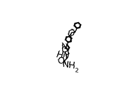 NC(=O)CNCc1cc(-c2ccc(OCc3ccccc3)cc2)no1